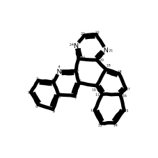 c1ccc2nc3c(cc2c1)c1c2ccccc2ccc1c1nccnc13